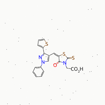 O=C(O)CN1C(=O)/C(=C\c2cn(-c3ccccc3)nc2-c2cccs2)SC1=S